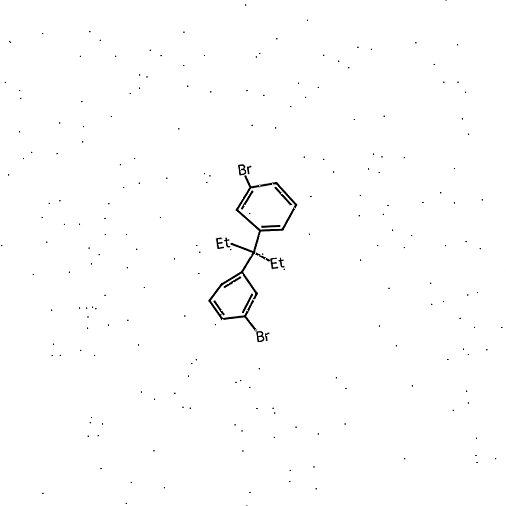 CCC(CC)(c1cccc(Br)c1)c1cccc(Br)c1